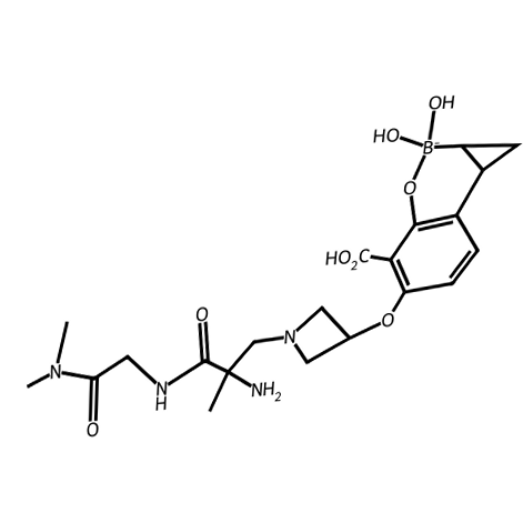 CN(C)C(=O)CNC(=O)C(C)(N)CN1CC(Oc2ccc3c(c2C(=O)O)O[B-](O)(O)C2CC32)C1